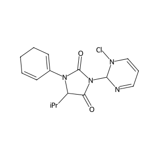 CC(C)C1C(=O)N(C2N=CC=CN2Cl)C(=O)N1C1=CCCC=C1